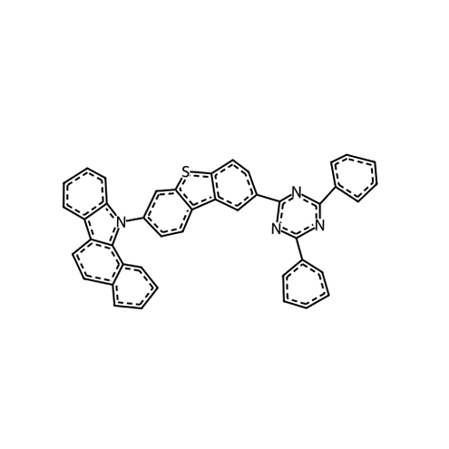 c1ccc(-c2nc(-c3ccccc3)nc(-c3ccc4sc5cc(-n6c7ccccc7c7ccc8ccccc8c76)ccc5c4c3)n2)cc1